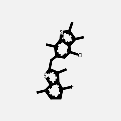 Cc1sc2c(C)c(Cc3sc4c(C)ccc(F)c4c3C)cc(Cl)c2c1C